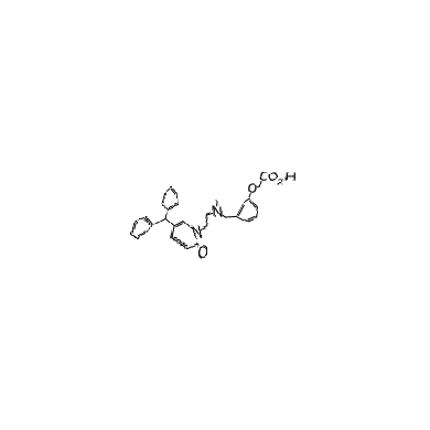 CN(CCn1cc(C(c2ccccc2)c2ccccc2)ccc1=O)Cc1cccc(OCC(=O)O)c1